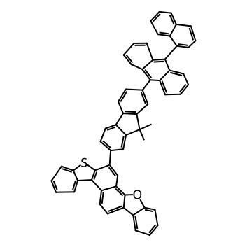 CC1(C)c2cc(-c3c4ccccc4c(-c4cccc5ccccc45)c4ccccc34)ccc2-c2ccc(-c3cc4c(ccc5c6ccccc6oc54)c4c3sc3ccccc34)cc21